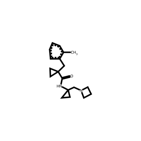 Cc1ccccc1CC1(C(=O)NC2(CN3CCC3)CC2)CC1